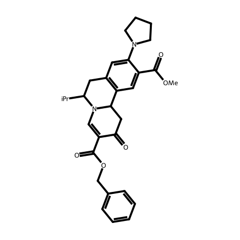 COC(=O)c1cc2c(cc1N1CCCC1)CC(C(C)C)N1C=C(C(=O)OCc3ccccc3)C(=O)CC21